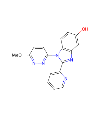 COc1ccc(-n2c(-c3ccccn3)nc3cc(O)ccc32)nn1